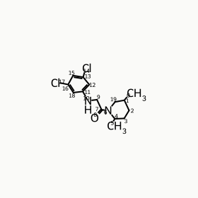 CC1CCC(C)N(C(=O)CNc2cc(Cl)cc(Cl)c2)C1